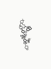 C=C(F)CCC1=C(CN2CCN(c3ccc(C(=O)NS(=O)(=O)c4ccc(NCC5CCOCC5)c([N+](=O)[O-])c4)c(Oc4cnc5[nH]ccc5c4)c3)CC2)CCC(C)(C)C1